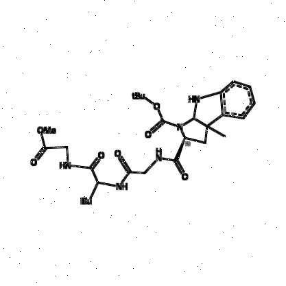 CCC(C)C(NC(=O)CNC(=O)[C@@H]1CC2(C)c3ccccc3NC2N1C(=O)OC(C)(C)C)C(=O)NCC(=O)OC